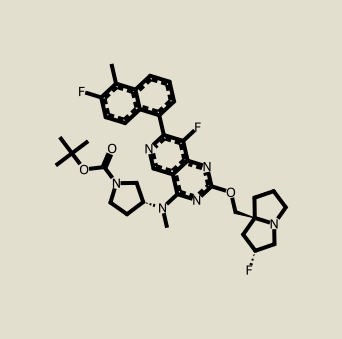 Cc1c(F)ccc2c(-c3ncc4c(N(C)[C@@H]5CCN(C(=O)OC(C)(C)C)C5)nc(OC[C@@]56CCCN5C[C@H](F)C6)nc4c3F)cccc12